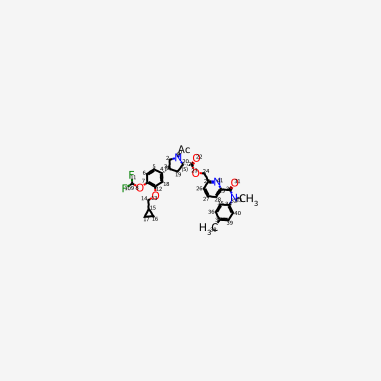 CC(=O)N1C[C@@H](c2ccc(OC(F)F)c(OCC3CC3)c2)C[C@H]1C(=O)OCc1cccc(C(=O)N(C)c2ccc(C)cc2)n1